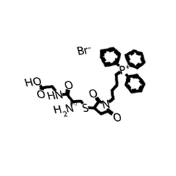 N[C@@H](CSC1CC(=O)N(CCCC[P+](c2ccccc2)(c2ccccc2)c2ccccc2)C1=O)C(=O)NCC(=O)O.[Br-]